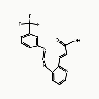 O=C(O)C=Cc1ncccc1N=C=Nc1cccc(C(F)(F)F)c1